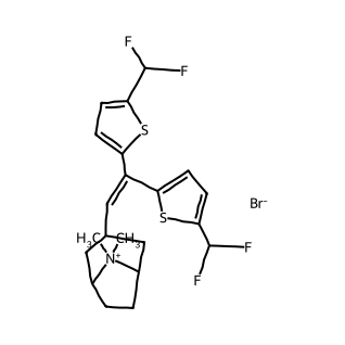 C[N+]1(C)C2CCC1CC(C=C(c1ccc(C(F)F)s1)c1ccc(C(F)F)s1)C2.[Br-]